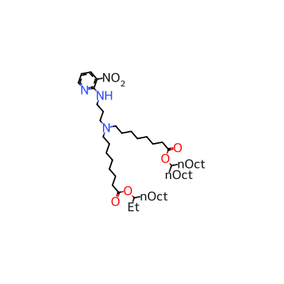 CCCCCCCCC(CC)OC(=O)CCCCCCCN(CCCCCCCC(=O)OC(CCCCCCCC)CCCCCCCC)CCCNc1ncccc1[N+](=O)[O-]